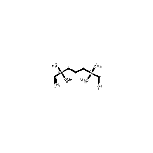 C=C[Si](CCC[Si](CO)(OC)OC)(OC)OC